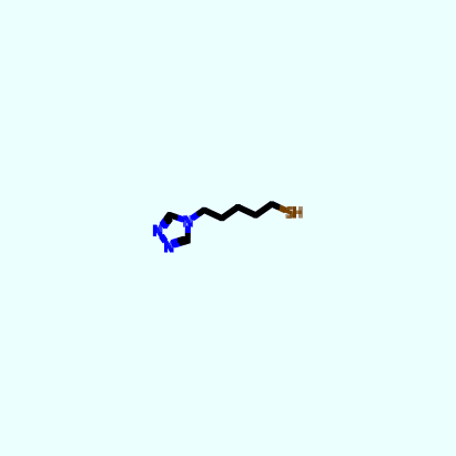 SCCCCCn1cnnc1